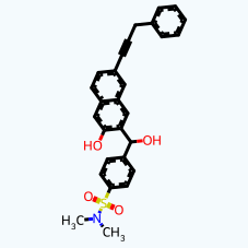 CN(C)S(=O)(=O)c1ccc(C(O)c2cc3cc(C#CCc4ccccc4)ccc3cc2O)cc1